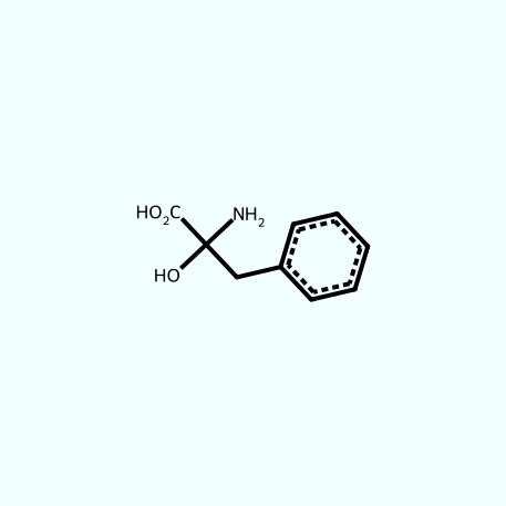 NC(O)(Cc1ccccc1)C(=O)O